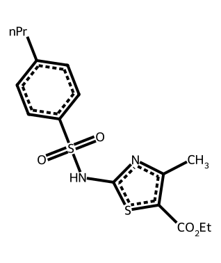 CCCc1ccc(S(=O)(=O)Nc2nc(C)c(C(=O)OCC)s2)cc1